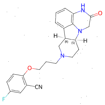 N#Cc1cc(F)ccc1OCCCN1CC[C@H]2[C@@H](C1)c1cccc3c1N2CC(=O)N3